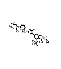 CNS(=O)(=O)c1cc(-c2sc(Nc3cccc(N4CC(C)(C)NCC4=O)n3)nc2C)cc2c1C(=O)N([C@@H](C)C1CC1)C2